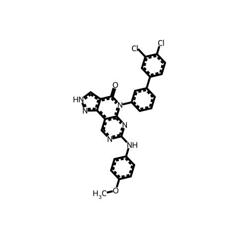 COc1ccc(Nc2ncc3c4n[nH]cc4c(=O)n(-c4cccc(-c5ccc(Cl)c(Cl)c5)c4)c3n2)cc1